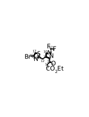 CCOC(=O)CC(=O)c1nn(C(F)F)cc1Cc1nc(Br)cs1